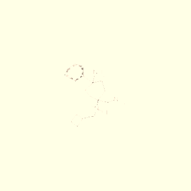 C[N+](C)(CC1CCC1)C1(CN)CCC(N)(c2ccccc2)CC1